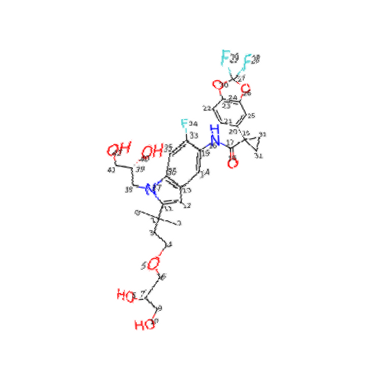 CC(C)(CCOCC(O)CO)c1cc2cc(NC(=O)C3(c4ccc5c(c4)OC(F)(F)O5)CC3)c(F)cc2n1C[C@@H](O)CO